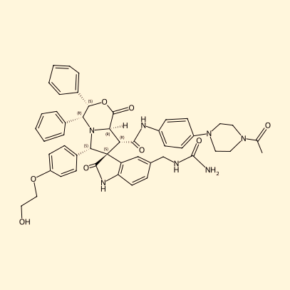 CC(=O)N1CCN(c2ccc(NC(=O)[C@H]3[C@@H]4C(=O)O[C@@H](c5ccccc5)[C@@H](c5ccccc5)N4[C@@H](c4ccc(OCCO)cc4)[C@]34C(=O)Nc3ccc(CNC(N)=O)cc34)cc2)CC1